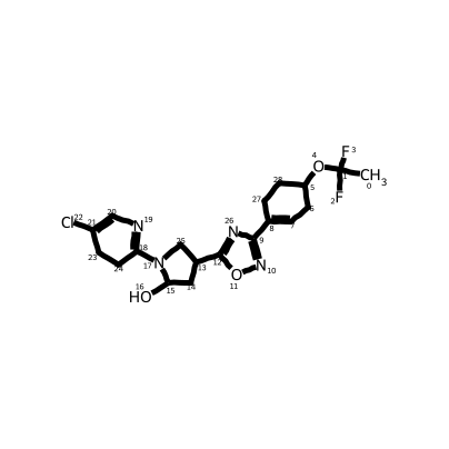 CC(F)(F)OC1CC=C(c2noc(C3CC(O)N(C4=NC=C(Cl)CC4)C3)n2)CC1